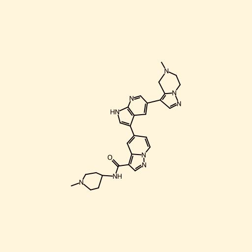 CN1CCC(NC(=O)c2cnn3ccc(-c4c[nH]c5ncc(-c6cnn7c6CN(C)CC7)cc45)cc23)CC1